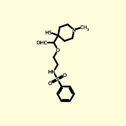 CN1CCC(S)(C(C=O)OCCNS(=O)(=O)c2ccccc2)CC1